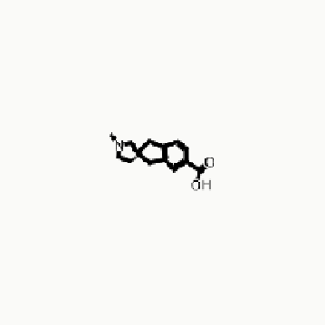 CN1CC[C@@]2(Cc3ccc(C(=O)O)cc3C2)C1